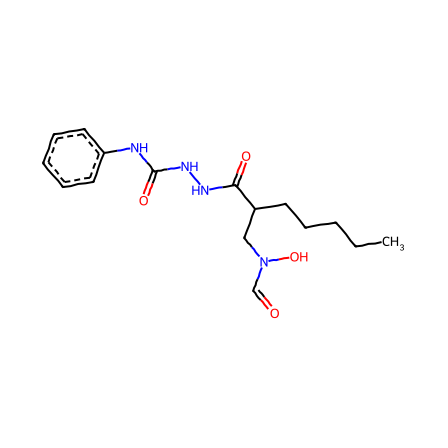 CCCCCC(CN(O)C=O)C(=O)NNC(=O)Nc1ccccc1